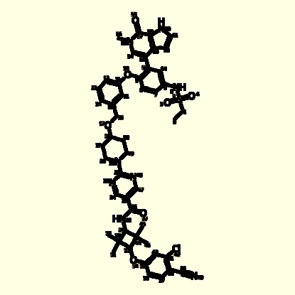 CCS(=O)(=O)Nc1ccc(Oc2cccc(COC3CCN(c4ncc(C(=O)NC5C(C)(C)C(Oc6ccc(C#N)c(Cl)c6)C5(C)C)cn4)CC3)c2)c(-c2cn(C)c(=O)c3[nH]ccc23)c1